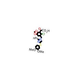 CCCc1nc(Sc2ccc(OC)c(OC)c2)cn1Cc1cc2c(c(C(=O)C(=O)O)c1Cl)OCO2